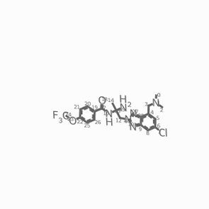 CN(C)Cc1cc(Cl)cc2nn(CC(C)(N)NC(=O)c3ccc(OC(F)(F)F)cc3)nc12